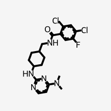 CN(C)c1ccnc(NC2CCC(CNC(=O)c3cc(F)c(Cl)cc3Cl)CC2)n1